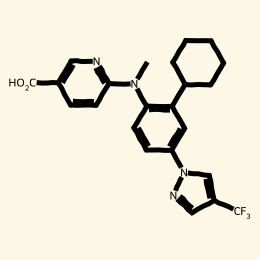 CN(c1ccc(C(=O)O)cn1)c1ccc(-n2cc(C(F)(F)F)cn2)cc1C1CCCCC1